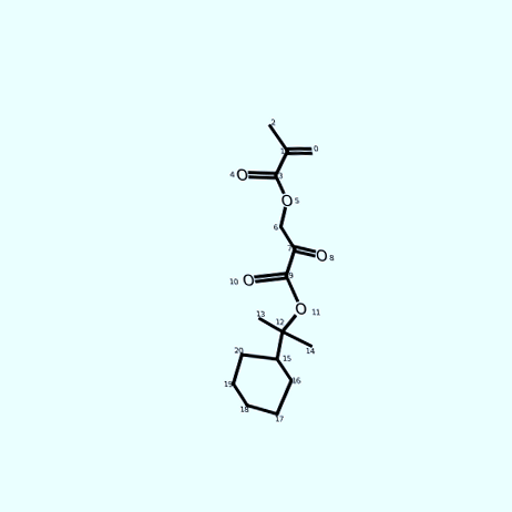 C=C(C)C(=O)OCC(=O)C(=O)OC(C)(C)C1CCCCC1